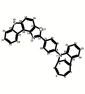 C1=CC2=CC(C=C1)N(c1ccc(-c3nc4c(ccc5sc6ccccc6c54)o3)cc1)c1ccccc12